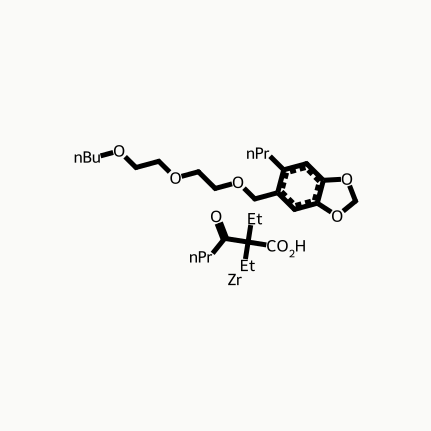 CCCC(=O)C(CC)(CC)C(=O)O.CCCCOCCOCCOCc1cc2c(cc1CCC)OCO2.[Zr]